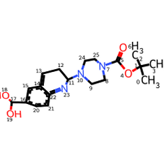 CC(C)(C)OC(=O)N1CCN(C2CC=c3cc(C(O)O)ccc3=N2)CC1